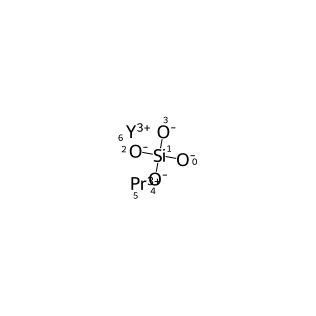 [O-][Si]([O-])([O-])[O-].[Pr+3].[Y+3]